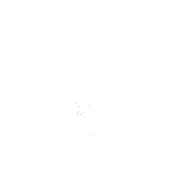 CCn1c(SCc2ccc([N+](=O)[O-])cc2)nnc1-c1cccc2ccccc12